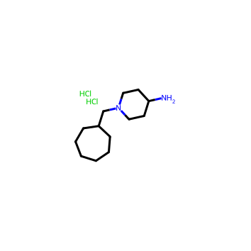 Cl.Cl.NC1CCN(CC2CCCCCC2)CC1